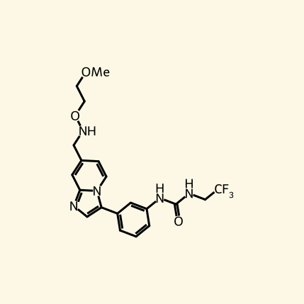 COCCONCc1ccn2c(-c3cccc(NC(=O)NCC(F)(F)F)c3)cnc2c1